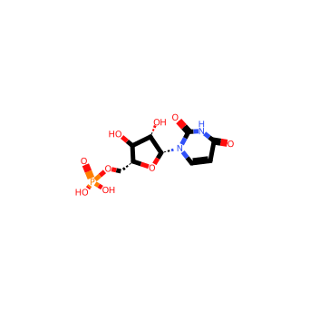 O=c1ccn([C@@H]2O[C@H](COP(=O)(O)O)C(O)[C@@H]2O)c(=O)[nH]1